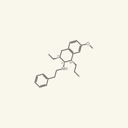 CCC[C@@H]1c2cc(OC)ccc2C[C@H](CC)[C@@H]1NCCc1ccccc1